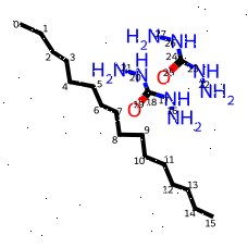 CCCCCCCCCCCCCCCC.NNC(=O)NN.NNC(=O)NN